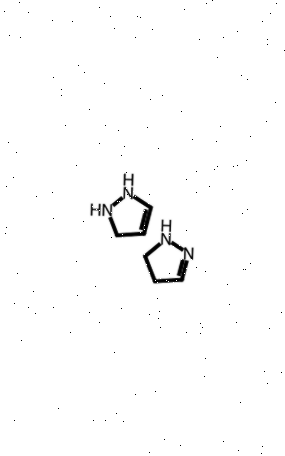 C1=CNNC1.C1=NNCC1